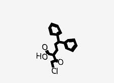 O=C(O)C(CCC(c1ccccc1)c1ccccc1)C(=O)CCl